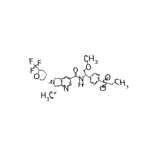 CC[C@H]1c2ncc(C(=O)N[C@@H](COC)c3ccc(S(=O)(=O)CC)cc3)cc2CN1C[C@H]1CC[C@H](C(F)(F)F)OC1